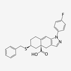 O=C(O)[C@]12Cc3cnn(-c4ccc(F)cc4)c3C=C1CC[C@H](SCc1ccccc1)C2